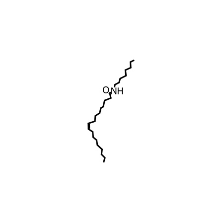 CCCCCCCC/C=C\CCCCCCCC(=O)NCCCCCCCC